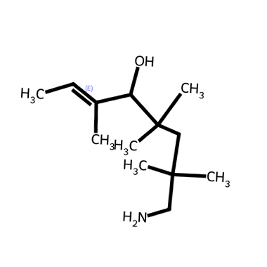 C/C=C(\C)C(O)C(C)(C)CC(C)(C)CN